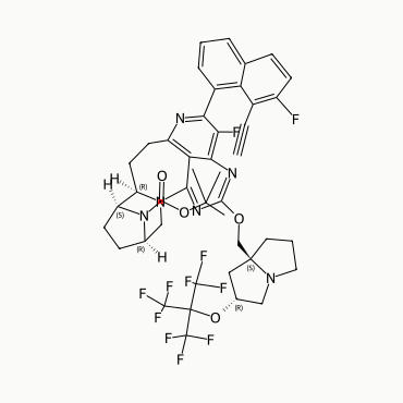 C#Cc1c(F)ccc2cccc(-c3nc4c5c(nc(OC[C@@]67CCCN6C[C@H](OC(C(F)(F)F)(C(F)(F)F)C(F)(F)F)C7)nc5c3F)N3C[C@H]5CC[C@@H]([C@H]3CC4)N5C(=O)OC(C)(C)C)c12